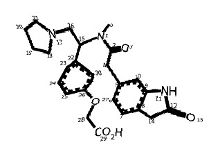 CN(C(=O)Cc1ccc2c(c1)NC(=O)C2)C(CN1CCCC1)c1cccc(OCC(=O)O)c1